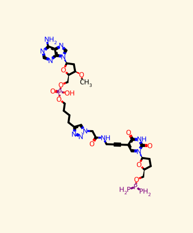 CO[C@@H]1C[C@H](n2cnc3c(N)ncnc32)O[C@@H]1COP(=O)(O)OCCCCc1cn(CC(=O)NCC#Cc2cn([C@H]3CC[C@@H](COP(P)P)O3)c(=O)[nH]c2=O)nn1